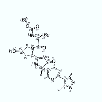 Cc1ncsc1-c1ccc([C@]2(C)NC(C3C[C@@H](O)CN3C(=O)[C@@H](NC(=O)OC(C)(C)C)C(C)(C)C)=NC2=O)cc1